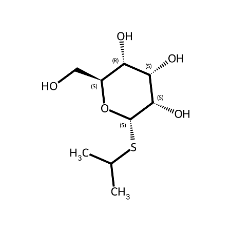 CC(C)S[C@@H]1O[C@@H](CO)[C@H](O)[C@H](O)[C@@H]1O